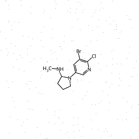 CNC1CCCN1c1cnc(Cl)c(Br)c1